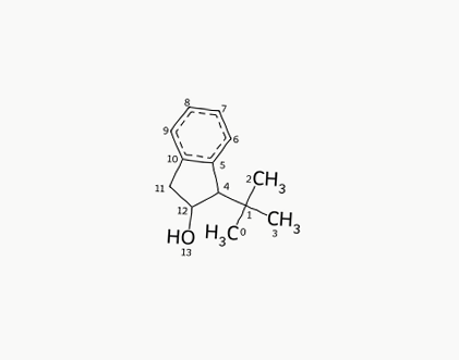 CC(C)(C)C1c2ccccc2CC1O